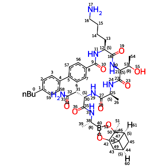 CCCCc1ccc(-c2ccc(C(=O)N[C@@H](CCCCN)C(=O)N[C@H](C(=O)N[C@@H](C)C(=O)N[C@@H](CC(N)=O)C(=O)N[C@@H](C)B3OC4C[C@@H]5C[C@@H](C5(C)C)[C@]4(C)O3)[C@@H](C)O)cc2)cc1